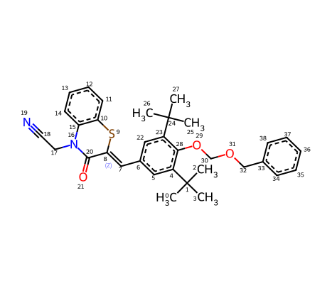 CC(C)(C)c1cc(/C=C2\Sc3ccccc3N(CC#N)C2=O)cc(C(C)(C)C)c1OCOCc1ccccc1